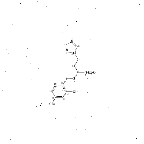 CCCCCCCC(CCn1ccnc1)SCc1ccc(Cl)cc1Cl